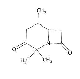 CC1CC(=O)C(C)(C)N2C(=O)CC12